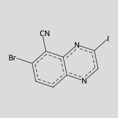 N#Cc1c(Br)ccc2ncc(I)nc12